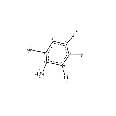 Nc1c(Br)cc(F)c(F)c1Cl